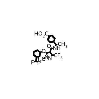 C[C@H](NC(=O)C1C(C(F)(F)F)=NN(C)C1Oc1cccc(C(F)F)c1)c1ccc(C(=O)O)cc1